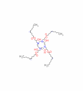 CCCCC/C=C\CCCC(=O)OCC(O)CN1CCCN(CC(O)COC(=O)CCC/C=C\CCCCC)CCN(CC(O)COC(=O)CCC/C=C\CCCCC)CCCN(CC(O)COC(=O)CCC/C=C\CCCCC)CC1